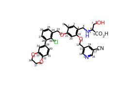 Cc1cc(CNC(CO)C(=O)O)c(OCc2cncc(C#N)c2)cc1OCc1cccc(-c2ccc3c(c2)OCCO3)c1Cl